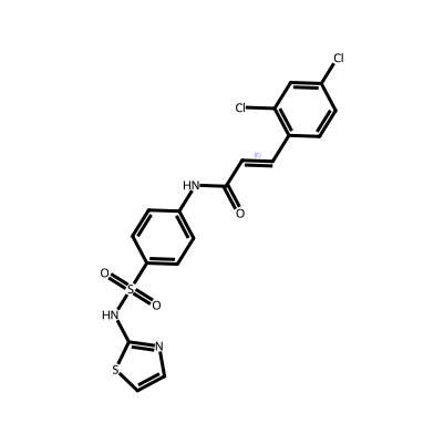 O=C(/C=C/c1ccc(Cl)cc1Cl)Nc1ccc(S(=O)(=O)Nc2nccs2)cc1